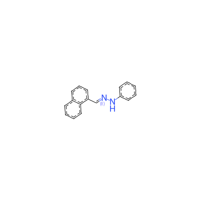 C(=N\Nc1ccccc1)/c1cccc2ccccc12